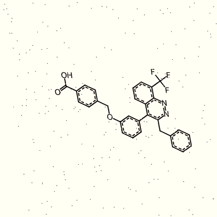 O=C(O)c1ccc(COc2cccc(-c3c(Cc4ccccc4)nnc4c(C(F)(F)F)cccc34)c2)cc1